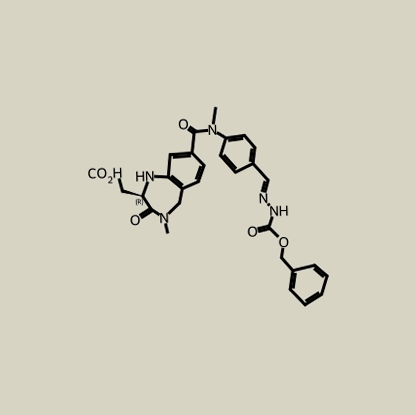 CN1Cc2ccc(C(=O)N(C)c3ccc(C=NNC(=O)OCc4ccccc4)cc3)cc2N[C@H](CC(=O)O)C1=O